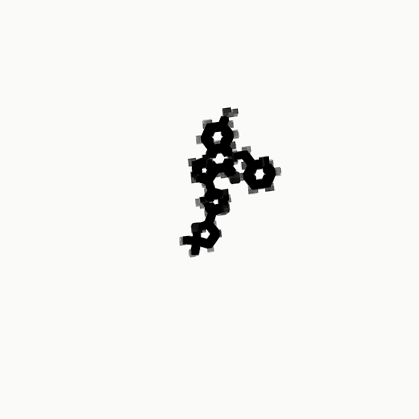 CC1(C)CCC(c2nc(-c3ncn4c3c(=O)n(Cc3ccccn3)c3cc(F)ccc34)no2)O1